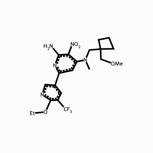 CCOc1ncc(-c2cc(N(C)CC3(COC)CCC3)c([N+](=O)[O-])c(N)n2)cc1C(F)(F)F